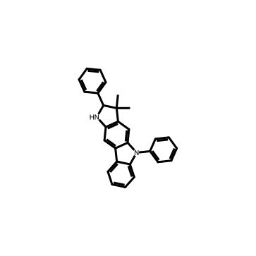 CC1(C)c2cc3c(cc2NC1c1ccccc1)c1ccccc1n3-c1ccccc1